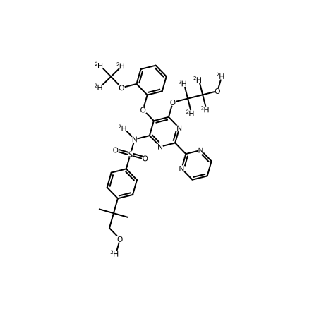 [2H]OCC(C)(C)c1ccc(S(=O)(=O)N([2H])c2nc(-c3ncccn3)nc(OC([2H])([2H])C([2H])([2H])O[2H])c2Oc2ccccc2OC([2H])([2H])[2H])cc1